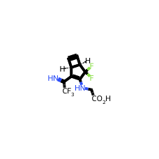 N=C(C1=C(NCC(=O)O)C(F)(F)[C@@H]2C#C[C@H]12)C(F)(F)F